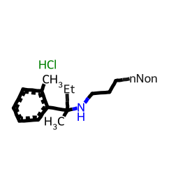 CCCCCCCCCCCCNC(C)(CC)c1ccccc1C.Cl